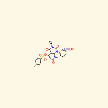 Cc1ccc(S(=O)(=O)Oc2cc(=O)n(C)c3c2c(=O)n(C2CC2)c(=O)n3-c2cccc(NO)c2)cc1